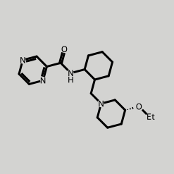 CCO[C@@H]1CCCN(CC2CCCCC2NC(=O)c2cnccn2)C1